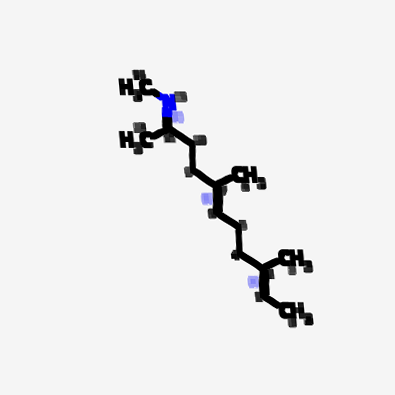 C/C=C(\C)CC/C=C(\C)CC/C(C)=N/C